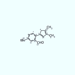 CC1=C(C)CC(c2ccc(C(C)(C)C)cc2C=O)=C1